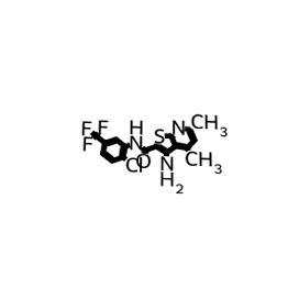 Cc1cc(C)c2c(N)c(C(=O)Nc3cc(C(F)(F)F)ccc3Cl)sc2n1